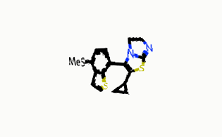 CSc1ccc(C2=C(C3CC3)SC3=NCCN32)c2sccc12